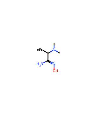 CCCC(/C(N)=N/O)N(C)C